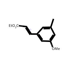 CCOC(=O)/C=C/c1cc(C)cc(OC)c1